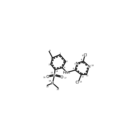 Cc1ccc(Nc2nc(Cl)ncc2Cl)c(S(=O)(=O)N(C)C)c1